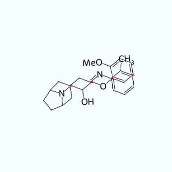 COc1ccccc1OCC(O)CN1C2CCC1CC(C/C=N/c1ccccc1C)C2